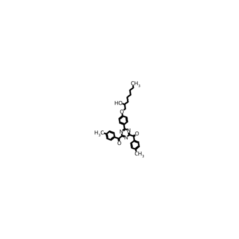 CCCCCCC(O)COc1ccc(-c2nc(C(=O)c3ccc(C)cc3)nc(C(=O)c3ccc(C)cc3)n2)cc1